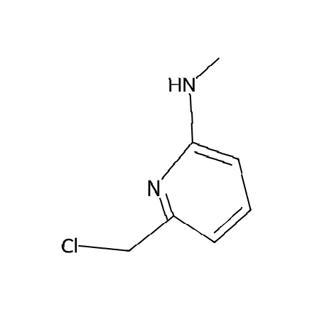 CNc1cccc(CCl)n1